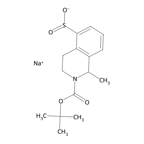 CC1c2cccc(S(=O)[O-])c2CCN1C(=O)OC(C)(C)C.[Na+]